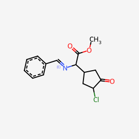 COC(=O)C(/N=C/c1ccccc1)C1CC(=O)C(Cl)C1